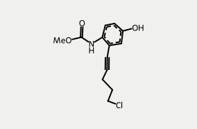 COC(=O)Nc1ccc(O)cc1C#CCCCCl